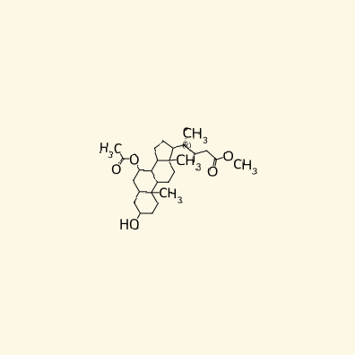 COC(=O)CC[C@@H](C)C1CCC2C3C(OC(C)=O)CC4CC(O)CCC4(C)C3CCC21C